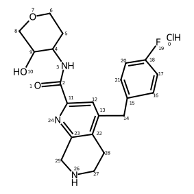 Cl.O=C(NC1CCOCC1O)c1cc(Cc2ccc(F)cc2)c2c(n1)CNCC2